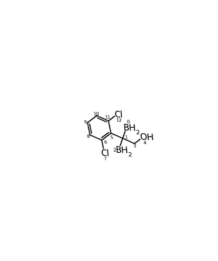 BC(B)(CO)c1c(Cl)cccc1Cl